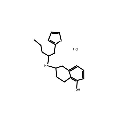 CCCC(Cc1cccs1)NC1CCc2c(O)cccc2C1.Cl